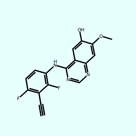 C#Cc1c(F)ccc(Nc2ncnc3cc(OC)c(O)cc23)c1F